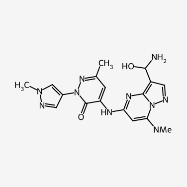 CNc1cc(Nc2cc(C)nn(-c3cnn(C)c3)c2=O)nc2c(C(N)O)cnn12